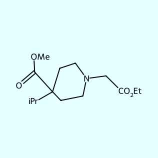 CCOC(=O)CN1CCC(C(=O)OC)(C(C)C)CC1